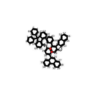 c1ccc(C2(c3ccccc3)c3ccccc3-c3c(N(c4ccc(-c5cc6ccccc6c6ccccc56)cc4)c4ccccc4-c4cccc5oc6cc7ccccc7cc6c45)cccc32)cc1